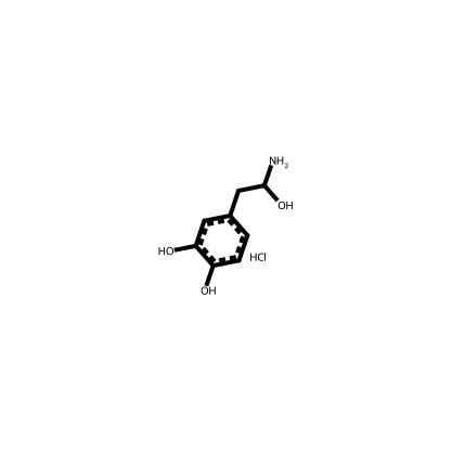 Cl.NC(O)Cc1ccc(O)c(O)c1